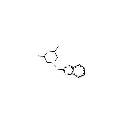 CC1CN(Sc2nc3ccccc3o2)CC(C)O1